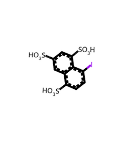 O=S(=O)(O)c1cc(S(=O)(=O)O)c2c(I)ccc(S(=O)(=O)O)c2c1